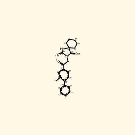 Cc1cc(C(=O)CN2C(=O)NC3(CCCCC3)C2=O)ccc1-c1ccccc1